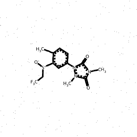 Cc1ccc(-n2c(=O)n(C)c(=O)n2C)cc1[S+]([O-])CC(F)(F)F